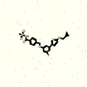 CS(=O)(=O)NC(=O)c1ccc(COc2cc(F)cc(-c3ccc(OCC4CC4)nc3)c2)cc1